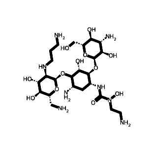 NCCCN[C@H]1[C@@H](OC2[C@@H](N)C[C@@H](NC(=O)N(O)CCN)[C@H](O[C@H]3O[C@H](CO)[C@@H](O)[C@H](N)[C@H]3O)[C@H]2O)O[C@H](CN)[C@@H](O)[C@@H]1O